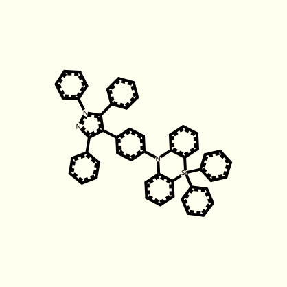 c1ccc(-c2nn(-c3ccccc3)c(-c3ccccc3)c2-c2ccc(N3c4ccccc4[Si](c4ccccc4)(c4ccccc4)c4ccccc43)cc2)cc1